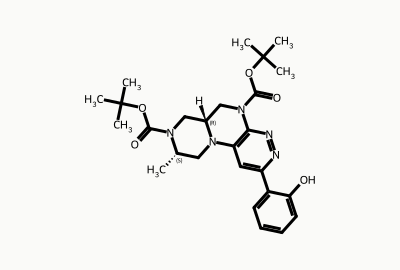 C[C@H]1CN2c3cc(-c4ccccc4O)nnc3N(C(=O)OC(C)(C)C)C[C@H]2CN1C(=O)OC(C)(C)C